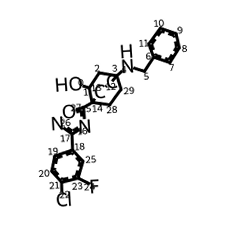 OC1CC2(NCc3ccccc3)CCC1(c1nc(-c3ccc(Cl)c(F)c3)no1)CC2